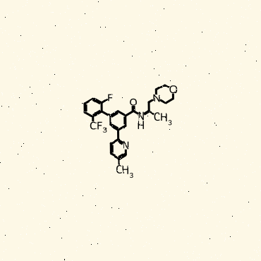 Cc1ccc(-c2cc(C(=O)N[C@H](C)CN3CCOCC3)cc(-c3c(F)cccc3C(F)(F)F)c2)nc1